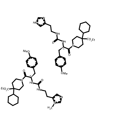 CCOC(=O)C1(C2CCCCC2)CCN(C(=O)[C@@H](Cc2ccc(OC)cc2)NC(=O)NCCc2cncn2C)CC1.CCOC(=O)C1(C2CCCCC2)CCN(C(=O)[C@@H](Cc2ccc(OC)cc2)NC(=S)NCCc2c[nH]cn2)CC1